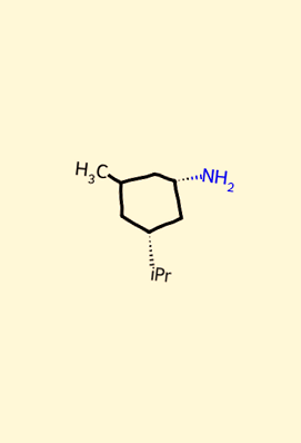 CC1C[C@H](N)C[C@H](C(C)C)C1